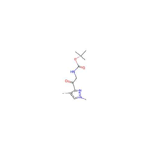 Cc1cn(C)nc1C(=O)CNC(=O)OC(C)(C)C